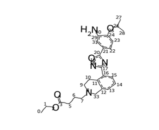 CCOC(=O)CCCN1CCc2c(cccc2-c2noc(-c3ccc(OC(C)C)c(N)c3)n2)C1